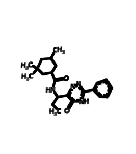 CCC(NC(=O)C1CC(C)CC(C)(C)C1)c1nnc(-c2ccccc2)[nH]c1=O